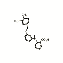 Cc1ccc(CCc2cccc(Nc3ccccc3C(=O)O)c2)cc1C